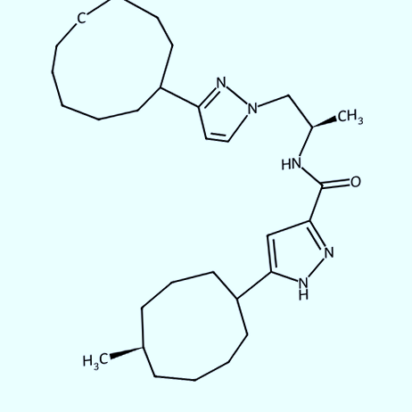 C[C@@H]1CCCCC(c2cc(C(=O)N[C@H](C)Cn3ccc(C4CCCCCCCCC4)n3)n[nH]2)CCC1